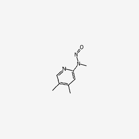 Cc1cnc(N(C)N=O)cc1C